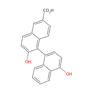 O=C(O)c1ccc2c(-c3ccc(O)c4ccccc34)c(O)ccc2c1